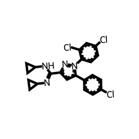 Clc1ccc(-c2cc(C(=NC3CC3)NC3CC3)nn2-c2ccc(Cl)cc2Cl)cc1